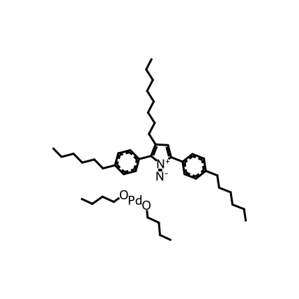 CCCCCCCCC1=C(c2ccc(CCCCCC)cc2)[N+](=[N-])C(c2ccc(CCCCCC)cc2)=C1.CCCC[O][Pd][O]CCCC